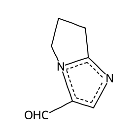 O=Cc1cnc2n1CCC2